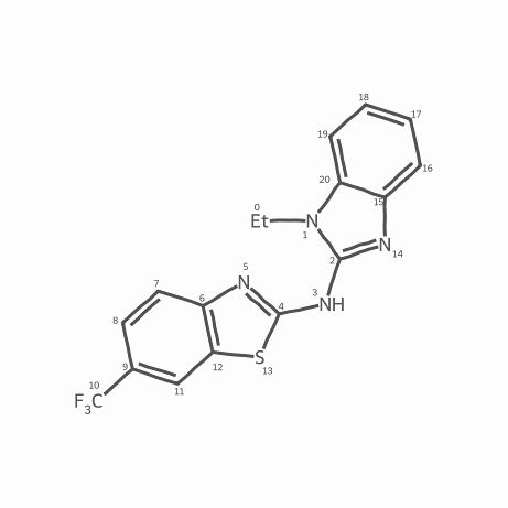 CCn1c(Nc2nc3ccc(C(F)(F)F)cc3s2)nc2ccccc21